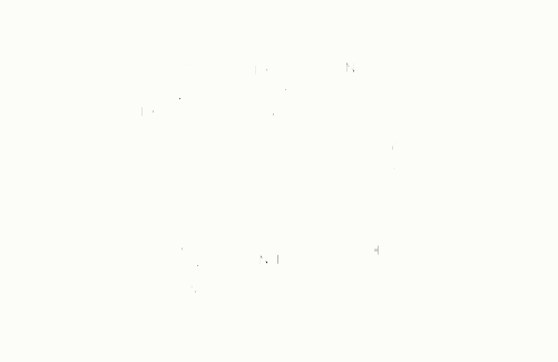 COC(=O)c1c[nH]c2cc(Cl)c(-c3ccc(C4(O)CCC4)cc3OC)cc12.COc1cc(C2(O)CCC2)ccc1-c1cc2c(C(=O)O)c[nH]c2cc1Cl